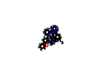 Cc1ccc2c(oc3ccccc32)c1N1C=CN(C)C1CC1c2ccccc2N2c3nccnc3N(c3ccccc3)C12